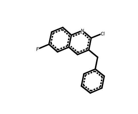 Fc1ccc2nc(Cl)c(Cc3ccccc3)cc2c1